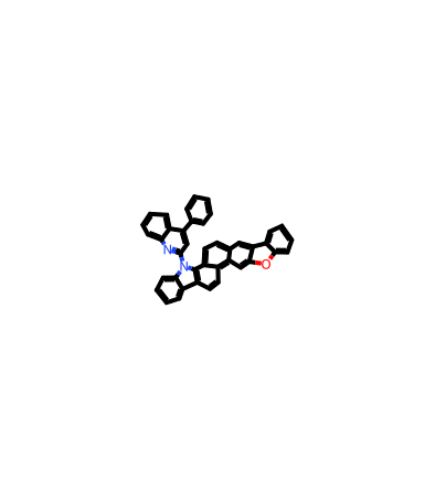 c1ccc(-c2cc(-n3c4ccccc4c4ccc5c6cc7oc8ccccc8c7cc6ccc5c43)nc3ccccc23)cc1